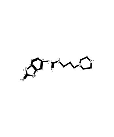 O=C(NCCCN1CCOCC1)Nc1ccc2[nH]c(=O)[nH]c2c1